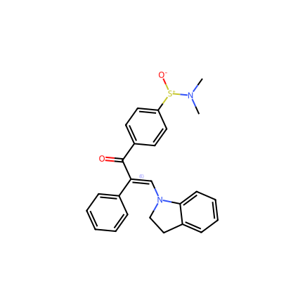 CN(C)[S+]([O-])c1ccc(C(=O)/C(=C/N2CCc3ccccc32)c2ccccc2)cc1